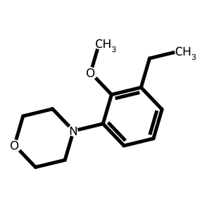 CCc1cccc(N2CCOCC2)c1OC